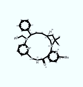 CC(C)CN1c2cccc(n2)SNC(=O)c2ccc(C(C)(C)C)nc2N2C[C@@H](CCC1c1ccccc1)CC2(C)C